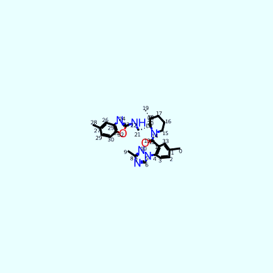 Cc1ccc(-n2cnc(C)n2)c(C(=O)N2CCC[C@@H](C)[C@H]2CNc2nc3cc(C)ccc3o2)c1